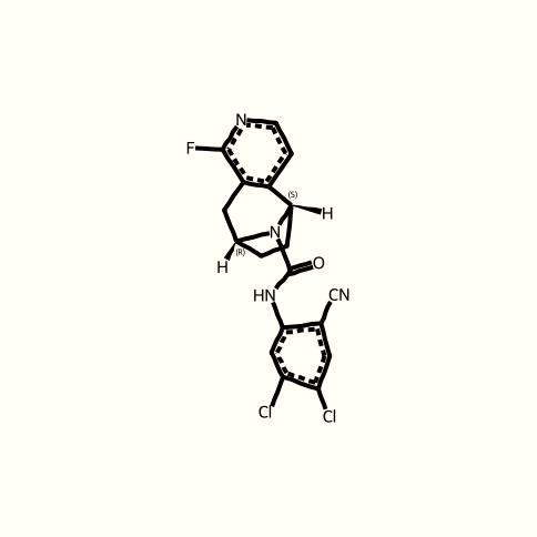 N#Cc1cc(Cl)c(Cl)cc1NC(=O)N1[C@@H]2CC[C@H]1c1ccnc(F)c1C2